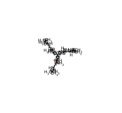 CC(C)(C)OC(=O)NCCCC[C@@H](N)C(=O)Nc1ccc(C(c2ccc(NC(=O)[C@H](N)CCCCNC(=O)OC(C)(C)C)cc2)c2ccc(NC(=O)[C@H](N)CCCCNC(=O)OC(C)(C)C)cc2)cc1